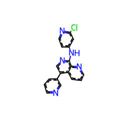 Clc1cc(Nc2ncc(-c3cccnc3)c3cccnc23)ccn1